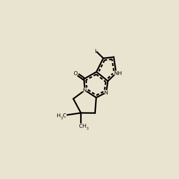 CC1(C)Cc2nc3[nH]cc(I)c3c(=O)n2C1